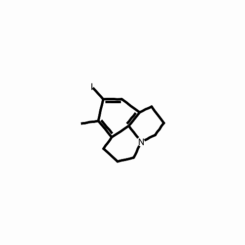 Cc1c(I)cc2c3c1CCCN3CCC2